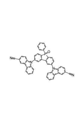 N#Cc1ccc2c(c1)c1ccccc1n2-c1ccc2c(c1)-c1cc(-n3c4ccccc4c4cc(C#N)ccc43)ccc1P2(=O)c1ccccc1